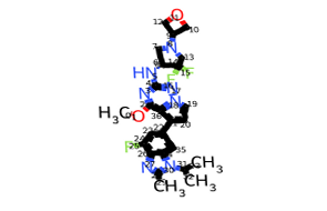 COc1nc(N[C@@H]2CN(C3COC3)CC2(F)F)nn2ccc(-c3cc(F)c4nc(C)n(C(C)C)c4c3)c12